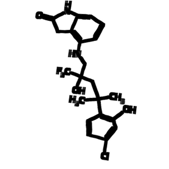 CC(C)(CC(O)(CNc1cccc2c1CC(=O)N2)C(F)(F)F)c1ccc(Cl)cc1O